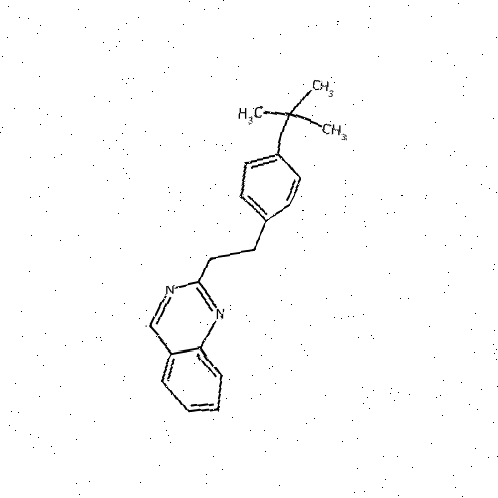 CC(C)(C)c1ccc(CCc2n[c]c3ccccc3n2)cc1